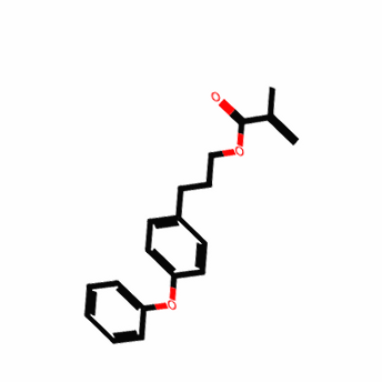 C=C(C)C(=O)OCCCc1ccc(Oc2ccccc2)cc1